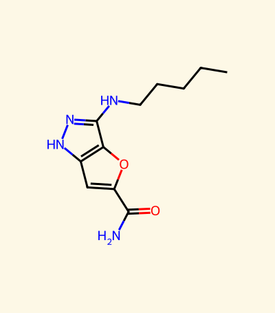 CCCCCNc1n[nH]c2cc(C(N)=O)oc12